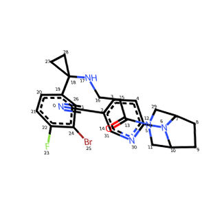 N#Cc1ccc(N2C3CCC2CN(C(=O)CCNC2(c4ccc(F)c(Br)c4)CC2)C3)nc1